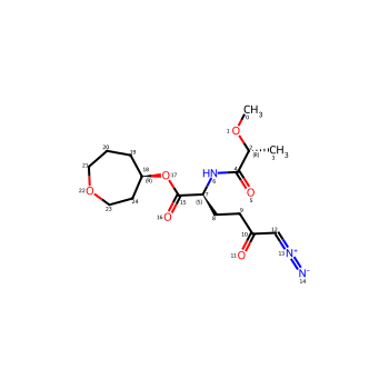 CO[C@H](C)C(=O)N[C@@H](CCC(=O)C=[N+]=[N-])C(=O)O[C@@H]1CCCOCC1